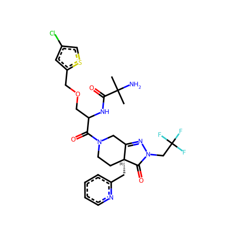 CC(C)(N)C(=O)NC(COCc1cc(Cl)cs1)C(=O)N1CC[C@]2(Cc3ccccn3)C(=O)N(CC(F)(F)F)N=C2C1